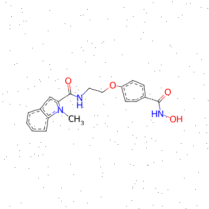 Cn1c(C(=O)NCCOc2ccc(C(=O)NO)cc2)cc2ccccc21